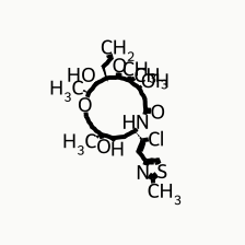 C=CC[C@H]1C(=O)C(C)(C)[C@@H](O)CC(=O)N[C@H](C(Cl)=Cc2csc(C)n2)C[C@@H]2O[C@]2(C)CCO[C@H](C)[C@H]1O